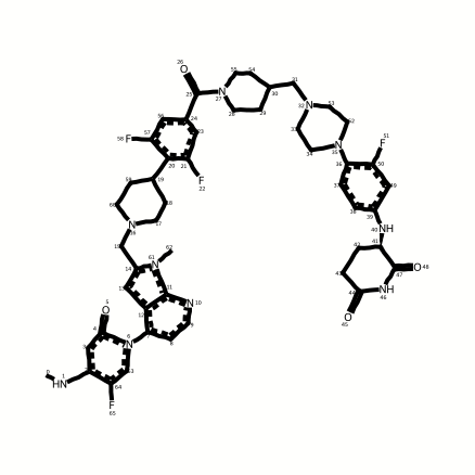 CNc1cc(=O)n(-c2ccnc3c2cc(CN2CCC(c4c(F)cc(C(=O)N5CCC(CN6CCN(c7ccc(N[C@@H]8CCC(=O)NC8=O)cc7F)CC6)CC5)cc4F)CC2)n3C)cc1F